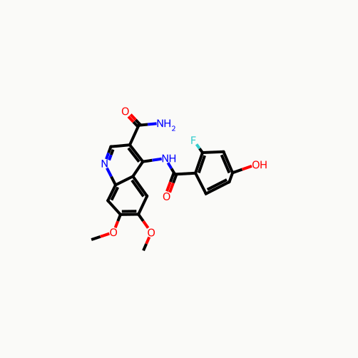 COc1cc2ncc(C(N)=O)c(NC(=O)c3ccc(O)cc3F)c2cc1OC